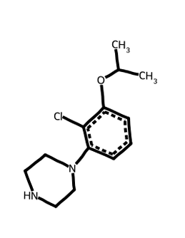 CC(C)Oc1cccc(N2CCNCC2)c1Cl